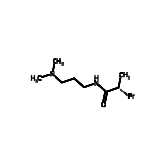 CC(C)[C@@H](C)C(=O)NCCCN(C)C